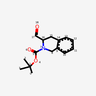 CC(C)(C)OC(=O)N1Cc2ccccc2CC1C=O